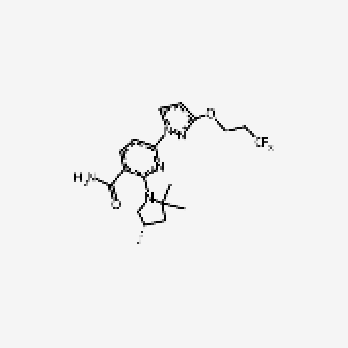 C[C@@H]1CN(c2nc(-n3ccc(OCCC(F)(F)F)n3)ccc2C(N)=O)C(C)(C)C1